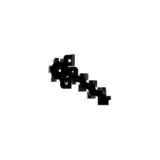 Clc1cccc(Cl)c1OCCCCCCBr